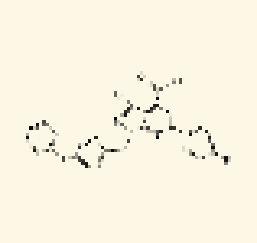 Cc1nn(Cc2ccc(Oc3ccccc3)cc2)c2nc(-c3ccc(F)cc3)cc(C(=O)O)c12